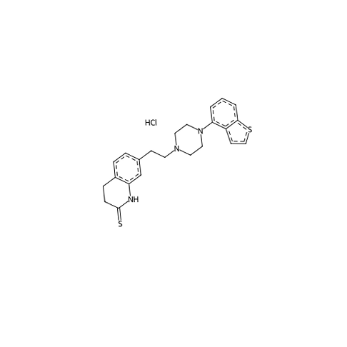 Cl.S=C1CCc2ccc(CCN3CCN(c4cccc5sccc45)CC3)cc2N1